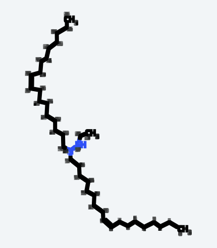 CCCCCCCC/C=C\CCCCCCCCN(CCCCCCCC/C=C\CCCCCCCC)NCC